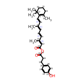 CC1=C(/C=C/C(C)=C/C=C/C(C)=C/C(=O)OC(=O)CCc2ccc(O)cc2)C(C)(C)CCC1